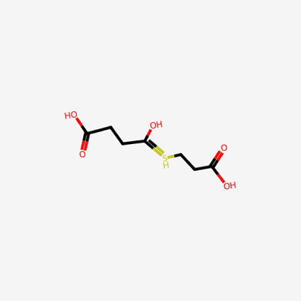 O=C(O)CC[SH]=C(O)CCC(=O)O